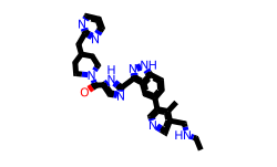 CCNCc1cncc(-c2ccc3[nH]nc(-c4ncc(C(=O)N5CCC(Cc6ncccn6)CC5)[nH]4)c3c2)c1C